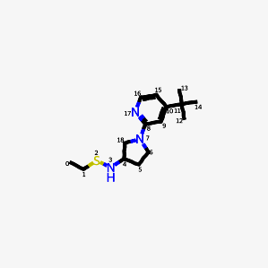 CCSNC1CCN(c2cc(C(C)(C)C)ccn2)C1